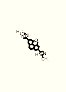 Cc1ncc(-c2cc3c4c(ccc5cc(-c6cnc(C)[nH]6)cc(c54)OC3)c2)[nH]1